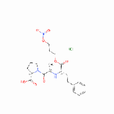 C[C@H](N[C@@H](CCc1ccccc1)C(=O)OCCCO[N+](=O)[O-])C(=O)N1CCC[C@H]1C(=O)O.Cl